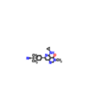 Cn1cnc2cc(-c3ccc(C(C)(C)C#N)cc3)nc(NC3CC3)c2c1=O